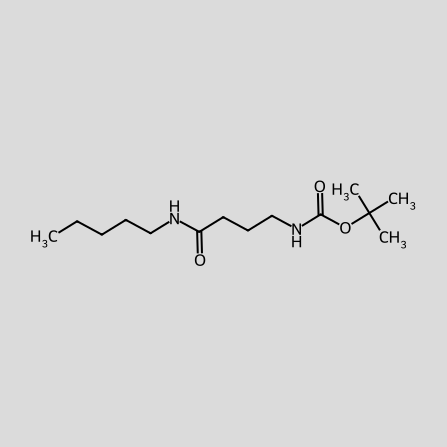 CCCCCNC(=O)CCCNC(=O)OC(C)(C)C